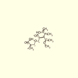 C=C(COCC(C(=O)O)=C(C(C)OC)C(C)OC)C(=O)O